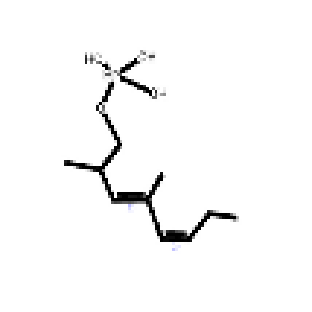 CC/C=C\C(C)=C\C(C)CO[PH](O)(O)O